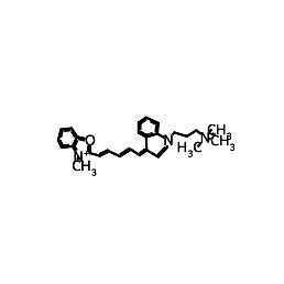 C[n+]1c(/C=C/C=C/C=C2/C=CN(CCC[N+](C)(C)C)c3ccccc32)oc2ccccc21